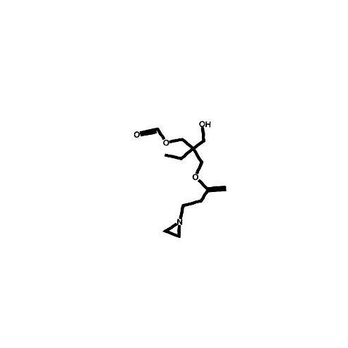 C=C(CCN1CC1)OCC(CC)(CO)COC=O